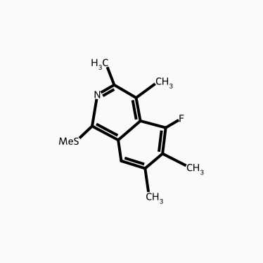 CSc1nc(C)c(C)c2c(F)c(C)c(C)cc12